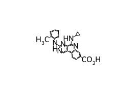 Cc1ccccc1Nc1ncc2c(n1)c(NC1CC1)nc1cc(C(=O)O)ccc12